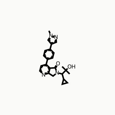 Cn1cc(-c2ccc(-c3ccnc4c3C(=O)N(C(C3CC3)C(C)(C)O)C4)cc2)cn1